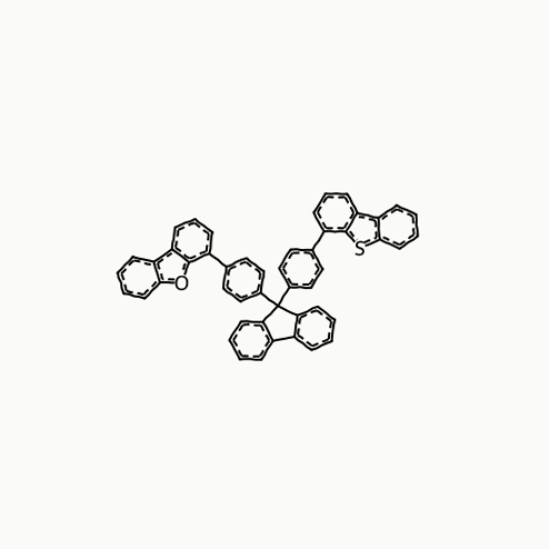 c1ccc2c(c1)-c1ccccc1C2(c1ccc(-c2cccc3c2oc2ccccc23)cc1)c1ccc(-c2cccc3c2sc2ccccc23)cc1